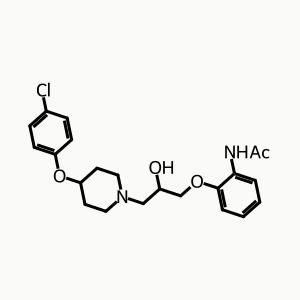 CC(=O)Nc1ccccc1OCC(O)CN1CCC(Oc2ccc(Cl)cc2)CC1